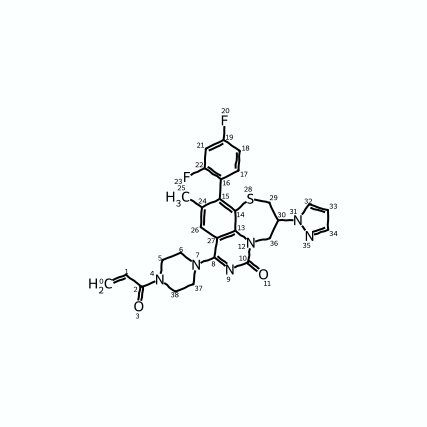 C=CC(=O)N1CCN(c2nc(=O)n3c4c(c(-c5ccc(F)cc5F)c(C)cc24)SCC(n2cccn2)C3)CC1